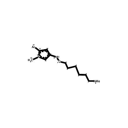 CNCCCCCCONc1cc(C(C)=O)n(C)c1